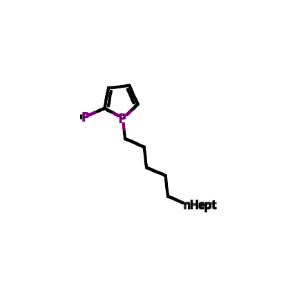 CCCCCCCCCCCCp1cccc1[P]